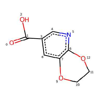 O=C(O)c1cnc2c(c1)OCCO2